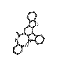 C=c1nc2ccccc2nn2c3ccccc3c3c4oc5ccccc5c4cc1c32